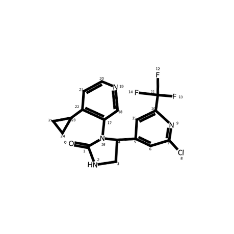 O=C1NCC(c2cc(Cl)nc(C(F)(F)F)c2)N1c1cnccc1C1CC1